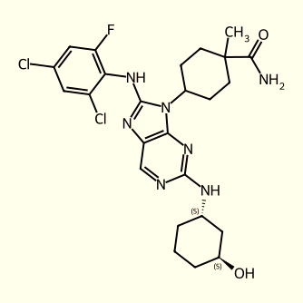 CC1(C(N)=O)CCC(n2c(Nc3c(F)cc(Cl)cc3Cl)nc3cnc(N[C@H]4CCC[C@H](O)C4)nc32)CC1